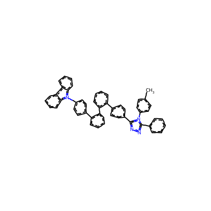 Cc1ccc(-n2c(-c3ccccc3)nnc2-c2ccc(-c3ccccc3-c3ccccc3-c3ccc(-n4c5ccccc5c5ccccc54)cc3)cc2)cc1